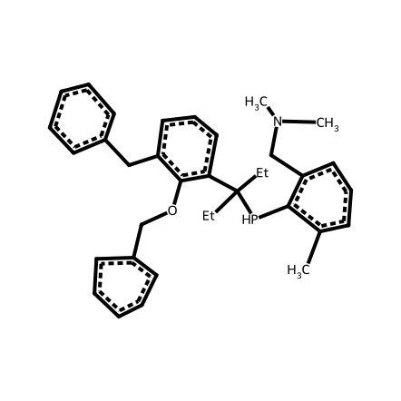 CCC(CC)(Pc1c(C)cccc1CN(C)C)c1cccc(Cc2ccccc2)c1OCc1ccccc1